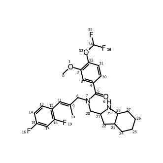 COc1cc(C(=O)N(CC(C)=Cc2ccc(F)cc2F)CC2CC3CCCCC3N2)ccc1OC(F)F